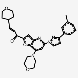 Cc1cccc(-c2ccn(-c3cc(N4CCOCC4)c4oc(C(=O)C=CC5CCOCC5)cc4n3)n2)c1